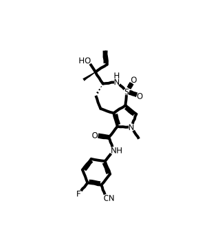 C=C[C@@](C)(O)[C@H]1CCc2c(cn(C)c2C(=O)Nc2ccc(F)c(C#N)c2)S(=O)(=O)N1